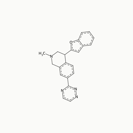 CN1Cc2cc(-c3nccnn3)ccc2C(c2cc3ccccc3o2)C1